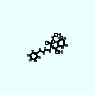 CCOC(=O)N(CCCCc1ccccc1)C(O)c1ccccc1